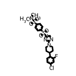 CN(C)S(=O)(=O)c1ccc(S(=O)(=O)n2cnc(N3CCC(c4ccc(Cl)cc4F)CC3)n2)cc1